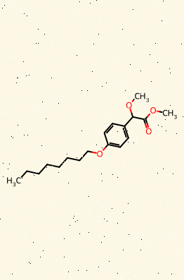 CCCCCCCCOc1ccc(C(OC)C(=O)OC)cc1